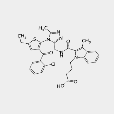 CCc1cc(C(=O)c2ccccc2Cl)c(-n2c(C)nnc2CNC(=O)c2c(C)c3ccccc3n2CCCC(=O)O)s1